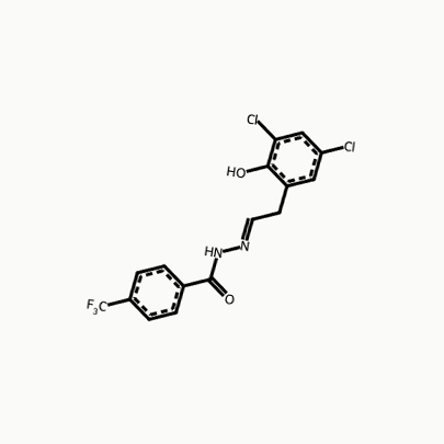 O=C(NN=CCc1cc(Cl)cc(Cl)c1O)c1ccc(C(F)(F)F)cc1